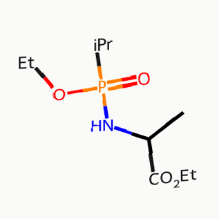 CCOC(=O)C(C)NP(=O)(OCC)C(C)C